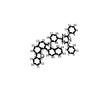 c1ccc(-c2nc(-c3ccccc3)nc(-c3cccc(-n4c5ccc6ccc7c8ccccc8oc7c6c5c5ccc6ccccc6c54)c3)n2)cc1